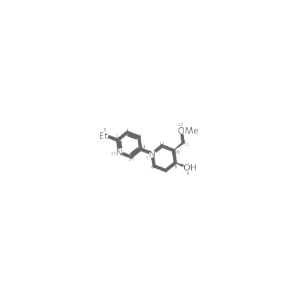 CCc1ccc(N2CC[C@H](O)[C@H](COC)C2)cn1